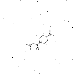 CNC1CCN(C(=O)CN(C)C)CC1